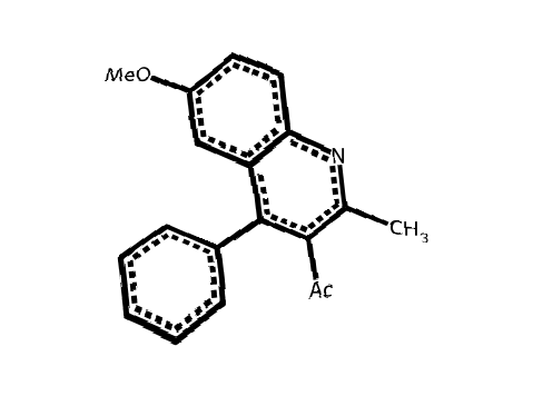 COc1ccc2nc(C)c(C(C)=O)c(-c3ccccc3)c2c1